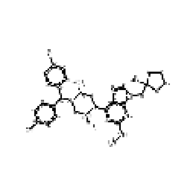 C[C@@H]1CN(c2nc(NN)nc3c2ncn3CC2(O)CCCC2)[C@@H](C)CN1C(c1ccc(Cl)cc1)c1ccc(Cl)cc1